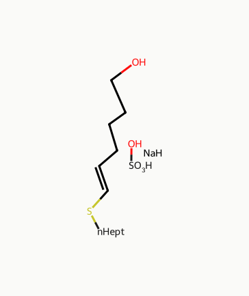 CCCCCCCSC=CCCCCO.O=S(=O)(O)O.[NaH]